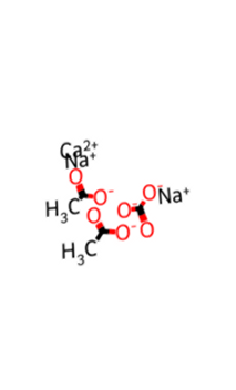 CC(=O)[O-].CC(=O)[O-].O=C([O-])[O-].[Ca+2].[Na+].[Na+]